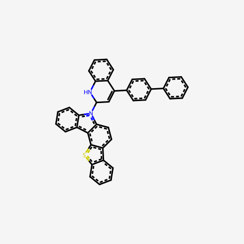 C1=C(c2ccc(-c3ccccc3)cc2)c2ccccc2NC1n1c2ccccc2c2c3sc4ccccc4c3ccc21